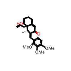 C=CC[C@@]12C(=CC(=O)C(=Cc3ccc(OC)c(OC)c3OC)[C@@H]1C)CCC[C@@H]2O